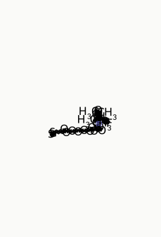 CC(C)c1nc(N(C)S(C)(=O)=O)nc(-c2ccc(F)cc2)c1/C=C/[C@H]1C[C@@H](OC(=O)OCCOCCOCCOCCOC(=O)CCCCC2CCSS2)CC(=O)O1